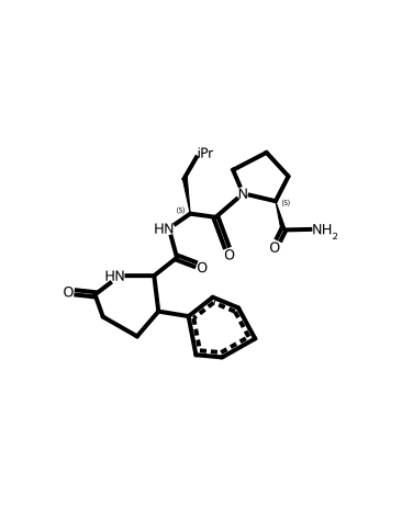 CC(C)C[C@H](NC(=O)C1NC(=O)CCC1c1ccccc1)C(=O)N1CCC[C@H]1C(N)=O